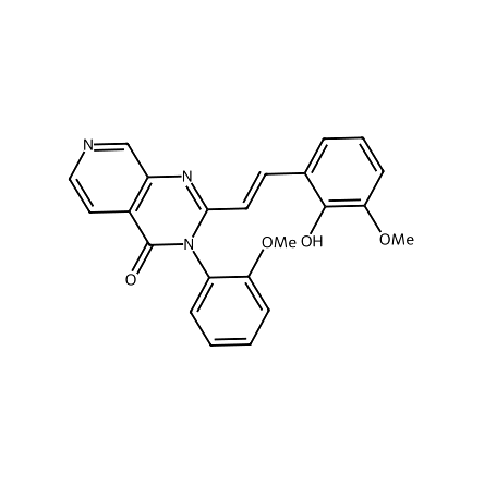 COc1ccccc1-n1c(/C=C/c2cccc(OC)c2O)nc2cnccc2c1=O